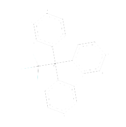 FC(F)(F)C(c1ccccc1)(c1ccccc1)c1ccccc1